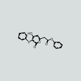 O=C(Cc1cc(O)c(Sc2ccccc2)c(=O)o1)Oc1ccccc1